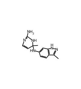 Cc1n[nH]c2cc(NC3(C)C=CN=C(N)N3)ccc12